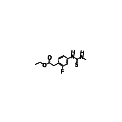 CCOC(=O)Cc1ccc(NC(=S)NC)cc1F